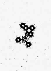 c1ccc(-c2nc(-c3ccccc3)nc(-n3cc4c5c(cccc53)-c3ccccc3-c3cc5ccccc5cc3-4)n2)cc1